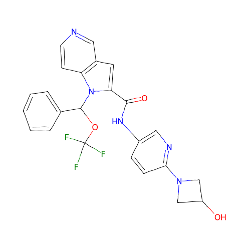 O=C(Nc1ccc(N2CC(O)C2)nc1)c1cc2cnccc2n1C(OC(F)(F)F)c1ccccc1